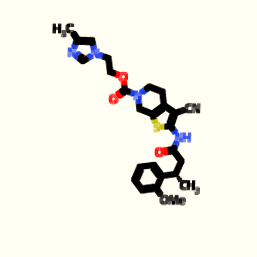 COc1ccccc1[C@@H](C)CC(=O)Nc1sc2c(c1C#N)CCN(C(=O)OCCn1cnc(C)c1)C2